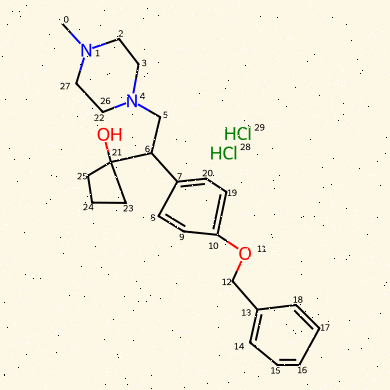 CN1CCN(CC(c2ccc(OCc3ccccc3)cc2)C2(O)CCC2)CC1.Cl.Cl